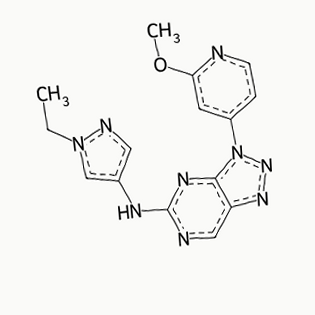 CCn1cc(Nc2ncc3nnn(-c4ccnc(OC)c4)c3n2)cn1